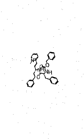 C[n+]1ccccc1/C=C/[C@H](CCc1ccccc1)NC(=O)[C@H](Cc1ccccc1)NC(=O)OCc1ccccc1